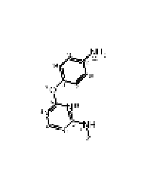 CNc1ncnc(Oc2ccc(N)cc2)n1